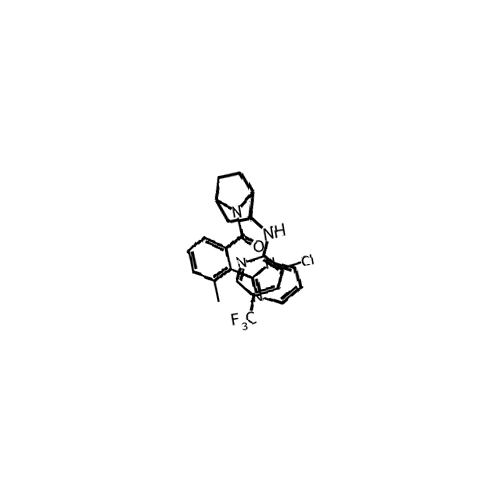 Cc1cccc(C(=O)N2C3CCC2C(Nc2ncc(C(F)(F)F)cc2Cl)C3)c1-c1ncccn1